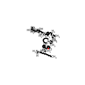 CC(=O)O.CC(Cc1ccc(C(C)(C)C)cc1)CN1C[C@@H](C)O[C@@H](C)C1.CC1CN(C2CCCCCCCCCCC2)CC(C)O1.CCCCCCCCCCCCNC(=N)N.CCCCc1c(C)nc(N(C)C)nc1O.O=[N+]([O-])C(Br)(CO)CO.Oc1ccc(Cl)cc1Cc1cc(Cl)ccc1O